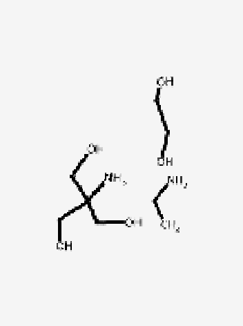 CCN.NC(CO)(CO)CO.OCCO